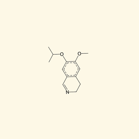 COc1cc2c(cc1OC(C)C)C=NCC2